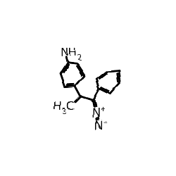 CC(C(=[N+]=[N-])c1ccccc1)c1ccc(N)cc1